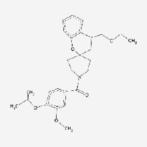 CCOCC1CC2(CCN(C(=O)c3ccc(OC(C)C)c(OC)c3)CC2)Oc2ccccc21